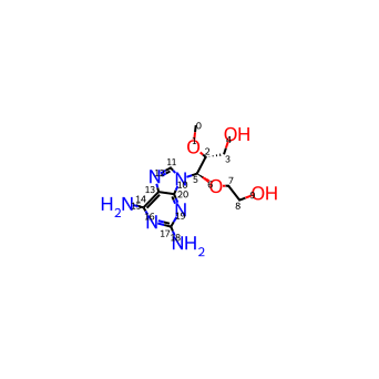 CO[C@H](CO)[C@@H](OCCO)n1cnc2c(N)nc(N)nc21